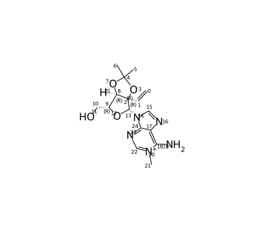 C=C[C@@]12OC(C)(C)O[C@@H]1[C@@H](CO)O[C@H]2n1cnc2c(N)[n+](C)cnc21